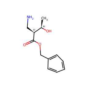 C[C@@H](O)[C@H](CN)C(=O)OCc1ccccc1